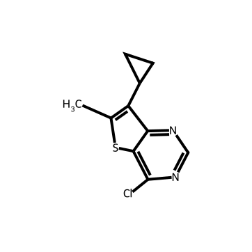 Cc1sc2c(Cl)ncnc2c1C1CC1